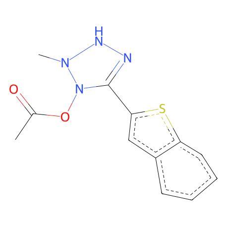 CC(=O)ON1C(c2cc3ccccc3s2)=NNN1C